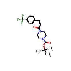 CC(C)(C)OC(=O)N1CCN(C(=O)/C=C\c2ccc(C(F)(F)F)cc2)CC1